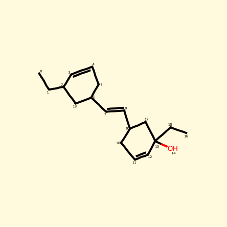 CCC1C=CCC(/C=C/C2CC=CC(O)(CC)C2)C1